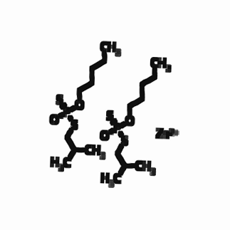 CCCCCOP([O-])(=S)SCC(C)C.CCCCCOP([O-])(=S)SCC(C)C.[Zn+2]